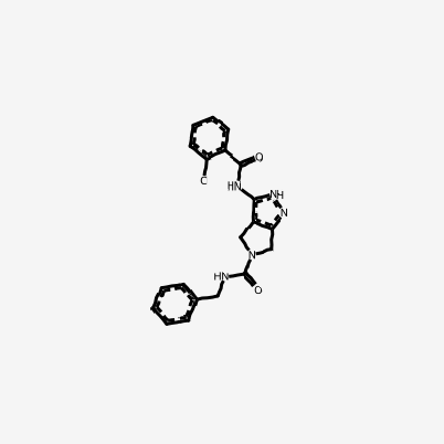 O=C(Nc1[nH]nc2c1CN(C(=O)NCc1ccccc1)C2)c1ccccc1Cl